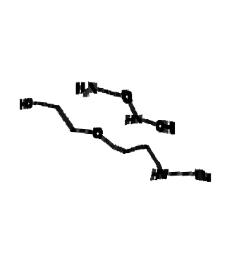 CC(C)(C)NCCOCCO.NONO